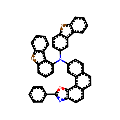 c1ccc(-c2nc3ccc4ccc5ccc(N(c6ccc7sc8ccccc8c7c6)c6cccc7sc8ccccc8c67)cc5c4c3o2)cc1